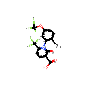 Cc1ccc(OC(F)(F)F)cc1-n1c(C(F)(F)F)ccc(C(=O)O)c1=O